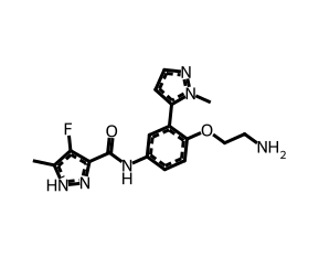 Cc1[nH]nc(C(=O)Nc2ccc(OCCN)c(-c3ccnn3C)c2)c1F